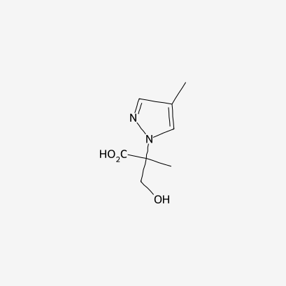 Cc1cnn(C(C)(CO)C(=O)O)c1